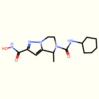 CC1c2cc(C(=O)NO)nn2CCN1C(=O)NC1CCCCC1